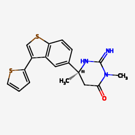 CN1C(=N)N[C@](C)(c2ccc3scc(-c4cccs4)c3c2)CC1=O